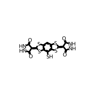 O=C1NNC(=O)C1=C1Sc2cc3c(c(S)c2S1)SC(=C1C(=O)NNC1=O)S3